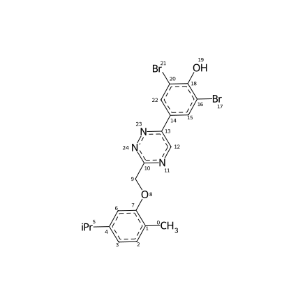 Cc1ccc(C(C)C)cc1OCc1ncc(-c2cc(Br)c(O)c(Br)c2)nn1